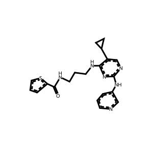 O=C(NCCCNc1nc(Nc2cccnc2)ncc1C1CC1)c1cccs1